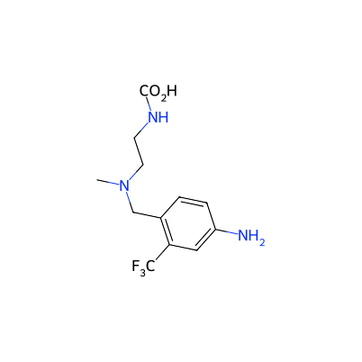 CN(CCNC(=O)O)Cc1ccc(N)cc1C(F)(F)F